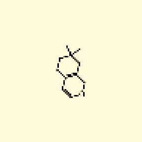 CC1(C)[CH]C2=C(C=COC2)CC1